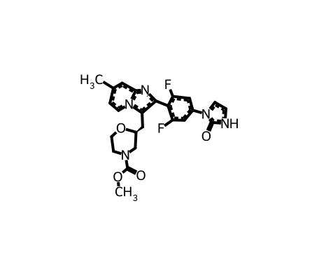 COC(=O)N1CCO[C@@H](Cc2c(-c3c(F)cc(-n4cc[nH]c4=O)cc3F)nc3cc(C)ccn23)C1